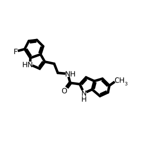 Cc1ccc2[nH]c(C(=O)NCCc3c[nH]c4c(F)cccc34)cc2c1